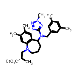 CCOC(=O)[C@@H](C)CN1CCCC(N(Cc2cc(C(F)(F)F)cc(C(F)(F)F)c2)c2nnn(C)n2)c2cc(C)c(C(F)(F)F)cc21